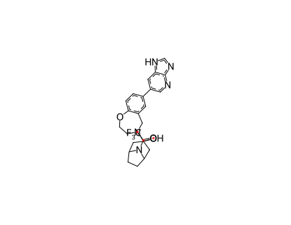 O=C(N1CCOc2ccc(-c3cnc4nc[nH]c4c3)cc2C1)N1C2CCC1CC(O)(C(F)(F)F)C2